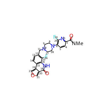 CNC(=O)c1ccc(N2CCN(Cc3ccc4c([nH]c(=O)c5cocc54)c3F)CC2)c(F)n1